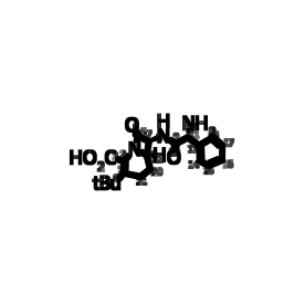 CC(C)(C)C1=C(C(=O)O)N2C(=O)[C@@H](NC(=O)[C@H](N)c3ccccc3)[C@H]2CC1